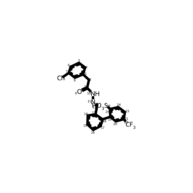 O=C(Cc1cccc(Cl)c1)N/N=C/c1ccccc1-c1cc(C(F)(F)F)ccc1S(=O)(=O)O